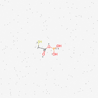 O=C(CS)OP(O)O